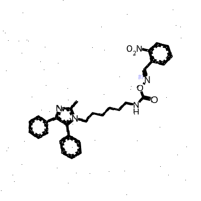 Cc1nc(-c2ccccc2)c(-c2ccccc2)n1CCCCCCNC(=O)O/N=C/c1ccccc1[N+](=O)[O-]